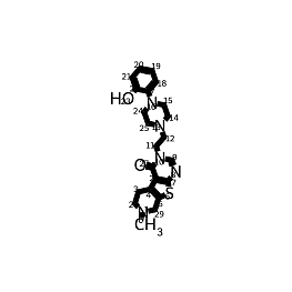 CN1CCc2c(sc3ncn(CCN4CCN(c5ccccc5O)CC4)c(=O)c23)C1